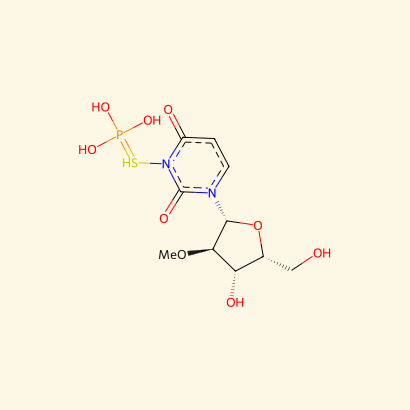 CO[C@@H]1[C@@H](O)[C@@H](CO)O[C@H]1n1ccc(=O)n([SH]=P(O)(O)O)c1=O